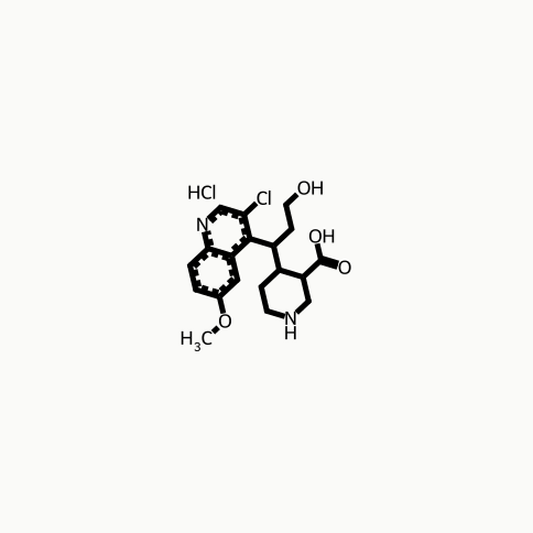 COc1ccc2ncc(Cl)c(C(CCO)C3CCNCC3C(=O)O)c2c1.Cl